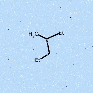 [CH2]CC(C)C[CH]C